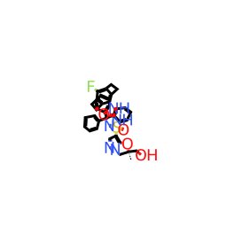 C[C@]1(CO)Cn2ncc([S@](=O)(=NC(c3ccccc3)(c3ccccc3)c3ccccc3)NC(=O)Nc3c4c(c(F)c5c3CC5)CC4)c2O1